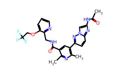 CC(=O)Nc1cn2nc(-c3cc(C(=O)NCc4ncccc4OCC(F)(F)F)c(C)nc3C)ccc2n1